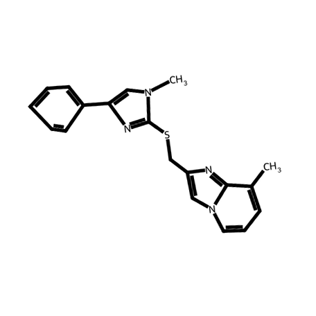 Cc1cccn2cc(CSc3nc(-c4ccccc4)cn3C)nc12